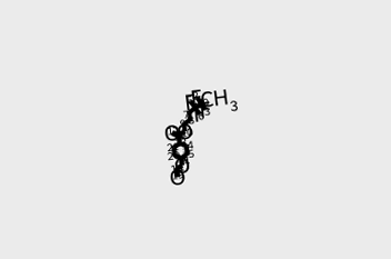 CC(F)(F)C(F)(F)CCCOC(=O)C1CCC(OC=O)CC1